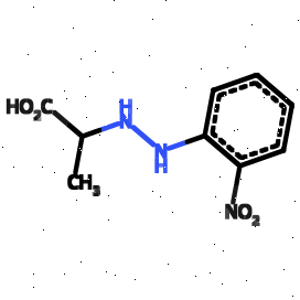 CC(NNc1ccccc1[N+](=O)[O-])C(=O)O